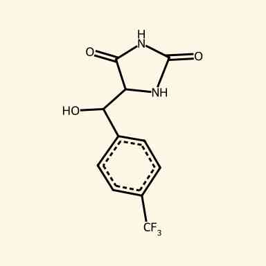 O=C1NC(=O)C(C(O)c2ccc(C(F)(F)F)cc2)N1